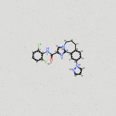 O=C(Nc1c(F)cccc1F)c1cn2c(n1)-c1cc(-n3cccn3)ccc1CCC2